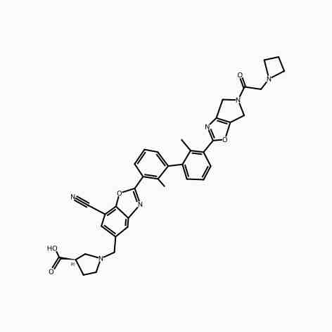 Cc1c(-c2nc3c(o2)CN(C(=O)CN2CCC2)C3)cccc1-c1cccc(-c2nc3cc(CN4CC[C@@H](C(=O)O)C4)cc(C#N)c3o2)c1C